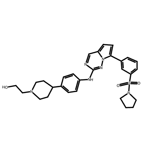 O=S(=O)(c1cccc(-c2ccc3cnc(Nc4ccc(C5CCN(CCO)CC5)cc4)nn23)c1)N1CCCC1